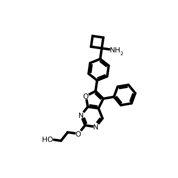 NC1(c2ccc(-c3oc4nc(OCCO)ncc4c3-c3ccccc3)cc2)CCC1